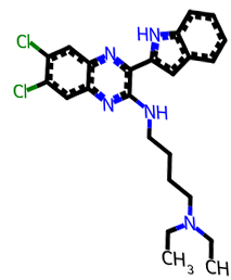 CCN(CC)CCCCNc1nc2cc(Cl)c(Cl)cc2nc1-c1cc2ccccc2[nH]1